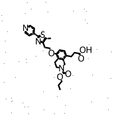 CCCOC(=O)N1CCc2c(OCCc3nc(-c4ccncc4)sc3C)ccc(CCC(=O)O)c2C1